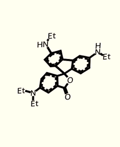 CCNc1ccc2c(c1)-c1cc(NCC)ccc1C21OC(=O)c2cc(N(CC)CC)ccc21